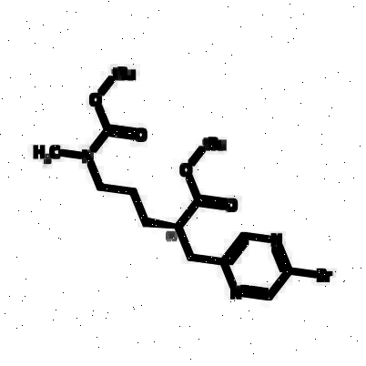 CN(CCC[C@H](Cc1cnc(Br)cn1)C(=O)OC(C)(C)C)C(=O)OC(C)(C)C